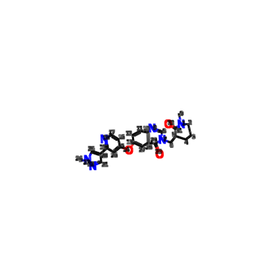 CN1CCCC(Cn2cnc3ccc(Oc4ccnc(-c5cnn(C)c5)c4)cc3c2=O)C1=O